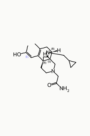 CC1=C(/C=C(\C)O)[C@@]23CCN(CC(N)=O)C[C@H]2[C@@H](C1)N(CC1CC1)CC3